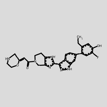 CCc1cc(O)c(F)cc1-c1ccc2c(-c3nc4c([nH]3)CCN(C(=O)C=C3CNCCO3)C4)n[nH]c2c1